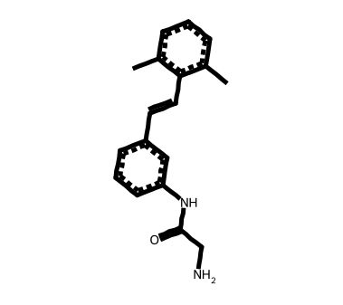 Cc1cccc(C)c1C=Cc1cccc(NC(=O)CN)c1